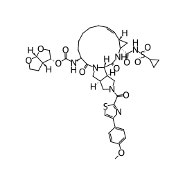 COc1ccc(-c2csc(C(=O)N3C[C@H]4CN5C(=O)[C@@H](NC(=O)O[C@H]6CO[C@H]7OCC[C@H]76)CCCCC/C=C\[C@@H]6C[C@@]6(C(=O)NS(=O)(=O)C6CC6)NC(=O)[C@@H]5[C@H]4C3)n2)cc1